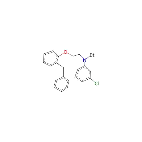 CCN(CCOc1ccccc1Cc1ccccc1)c1cccc(Cl)c1